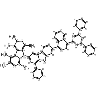 Bc1cc(B)c2c(c1B)c1c(B)c(B)cc(B)c1n2-c1cc(-c2ccccc2)c2oc3cc(-c4ccc(-c5nc(-c6ccccc6)nc(-c6ccccc6)n5)c5ccccc45)ccc3c2c1